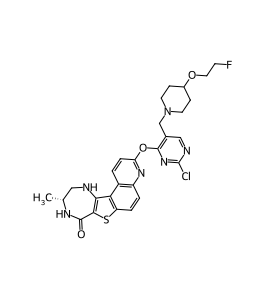 C[C@@H]1CNc2c(sc3ccc4nc(Oc5nc(Cl)ncc5CN5CCC(OCCF)CC5)ccc4c23)C(=O)N1